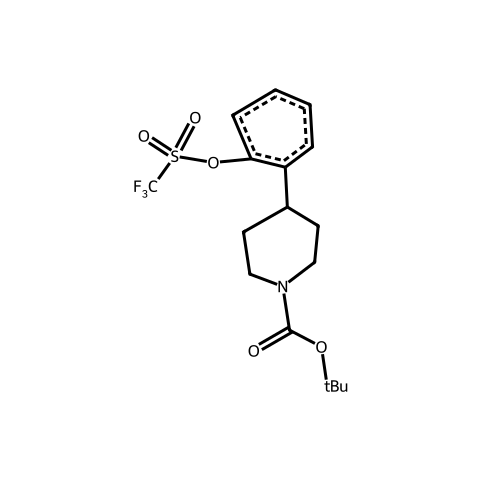 CC(C)(C)OC(=O)N1CCC(c2ccccc2OS(=O)(=O)C(F)(F)F)CC1